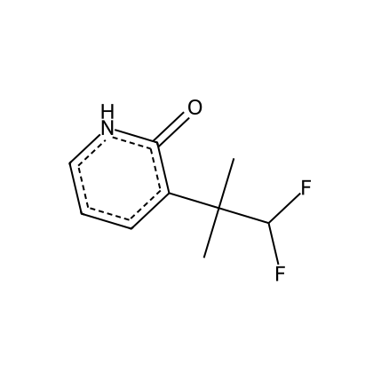 CC(C)(c1ccc[nH]c1=O)C(F)F